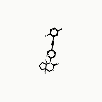 O=C1OC[C@@H]2CCC[C@@H]2N1c1ccc(C#Cc2cc(F)ccc2F)cn1